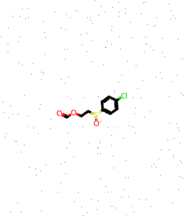 O=COCC[S+]([O-])c1ccc(Cl)cc1